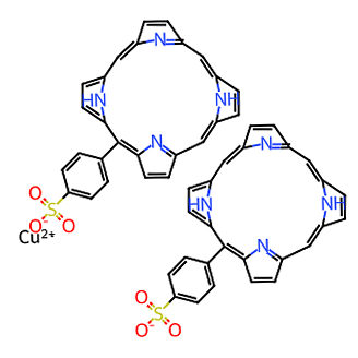 O=S(=O)([O-])c1ccc(-c2c3nc(cc4ccc(cc5nc(cc6ccc2[nH]6)C=C5)[nH]4)C=C3)cc1.O=S(=O)([O-])c1ccc(-c2c3nc(cc4ccc(cc5nc(cc6ccc2[nH]6)C=C5)[nH]4)C=C3)cc1.[Cu+2]